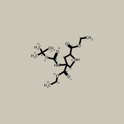 CCOC(=O)C1CC(NC(=O)OC(C)(C)C)(C(=O)OCC)CN1